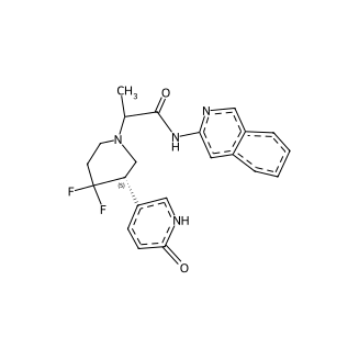 CC(C(=O)Nc1cc2ccccc2cn1)N1CCC(F)(F)[C@@H](c2ccc(=O)[nH]c2)C1